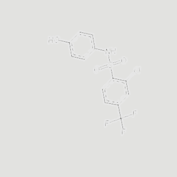 O=S(=O)(Nc1ccc(O)cc1)c1ccc(C(F)(F)F)cc1Cl